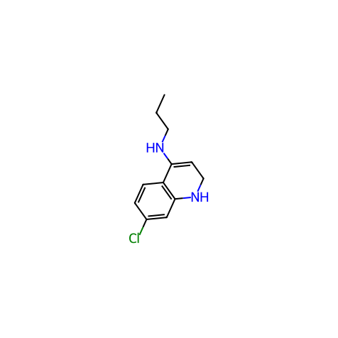 CCCNC1=CCNc2cc(Cl)ccc21